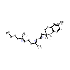 C/C(=C\C=C\C1(C)CCc2cc(O)ccc2O1)CC/C=C(\C)CCCC(C)C